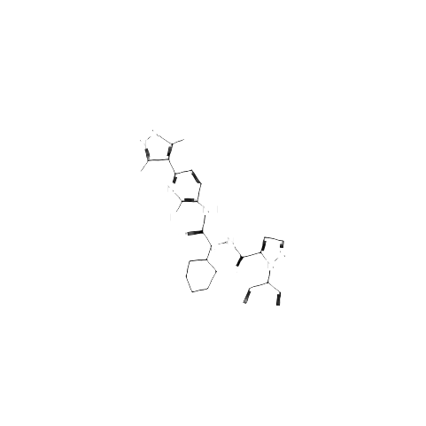 C=CC(C=C)n1nccc1C(=O)N[C@H](C(=O)Nc1ccc(-c2c(C)n[nH]c2C)nc1F)C1CCCCC1